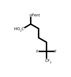 [CH2]CCCCC(CCCC(F)(F)C(F)(F)F)C(=O)O